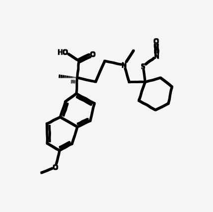 COc1ccc2cc([C@](C)(CCN(C)CC3(SN=O)CCCCC3)C(=O)O)ccc2c1